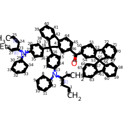 C=C/C=C(\C=C)N(c1ccccc1)c1ccc(C2(c3ccc(N(C(/C=C\C)=C/CC)c4ccccc4)cc3)c3ccccc3-c3ccc(C(=O)c4ccc5c(c4)C4(c6ccccc6-c6ccccc64)c4ccccc4-5)cc32)cc1